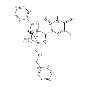 Cc1cn([C@@H]2O[C@@]3(COCc4ccccc4)[C@H](C)N[C@@H]2[C@@H]3OCc2ccccc2)c(=O)[nH]c1=O